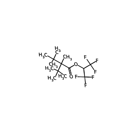 CC(C)(C)C(C)(C(=O)OC(C(F)(F)F)C(F)(F)F)C(C)(C)C